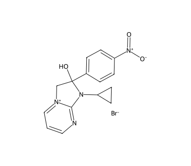 O=[N+]([O-])c1ccc(C2(O)C[n+]3cccnc3N2C2CC2)cc1.[Br-]